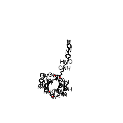 CN(C)c1ccc(/N=N/c2ccc(C(=O)NCCNC(=O)CCCCCN3CCN4CCNC(=O)c5cccc(c5O)C(=O)NCCN(CCNC(=O)c5cccc(c5O)C3=O)CCN3CCNC(=O)c5cccc(c5O)C(=O)NCCN(CCNC(=O)c5cccc(c5O)C(=O)NCC3)CC4)cc2)cc1